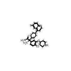 CC(C(N)=O)(c1ccc(Cl)c(OC2CCNCC2)c1)C1CCC(c2ccnc3ccc(F)cc23)CC1